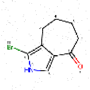 O=C1CCCCc2c1c[nH]c2Br